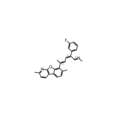 C/N=C/C(=C\C=C(/C)c1c(C)ccc2c1oc1nc(C)ccc12)c1cccc(F)c1